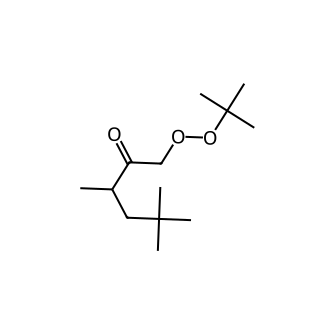 CC(CC(C)(C)C)C(=O)COOC(C)(C)C